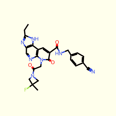 CCc1nc2cnc3c(cc(C(=O)NCc4ccc(C#N)cc4)c(=O)n3CC(=O)N3CC(C)(F)C3)c2[nH]1